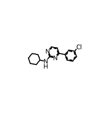 Clc1cccc(-c2ccnc(NC3CCCCC3)n2)c1